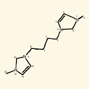 CN1C=CN([CH]CCCN2C=CN(C)C2)C1